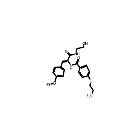 CC(C)Oc1ccc(/C=C(\NC(=O)c2ccc(OCCC(F)(F)F)cc2)C(=O)NCCO)cc1